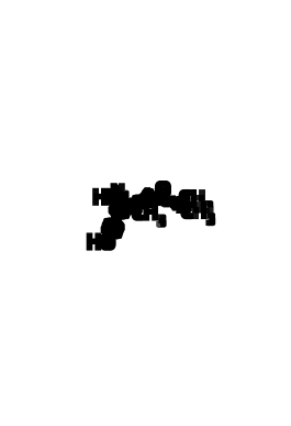 CN(C)C/C=C/C(=O)N1CC(CN(C)c2cc(-c3ccc(O)cc3)cc3[nH]ncc23)C1